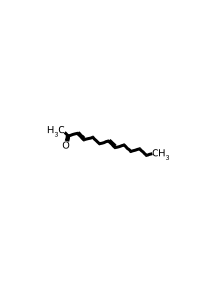 CCCCC/C=C/CC/C=C/C(C)=O